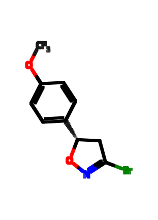 FC(F)(F)Oc1ccc([C@@H]2CC(Br)=NO2)cc1